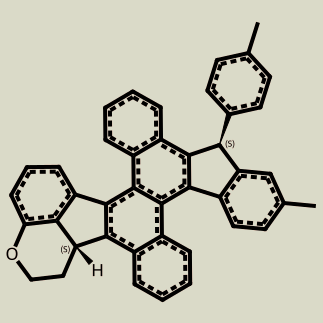 Cc1ccc([C@H]2c3cc(C)ccc3-c3c2c2ccccc2c2c4c(c5ccccc5c32)[C@@H]2CCOc3cccc-4c32)cc1